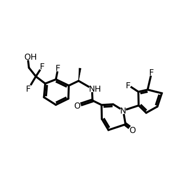 C[C@@H](NC(=O)c1ccc(=O)n(-c2cccc(F)c2F)c1)c1cccc(C(F)(F)CO)c1F